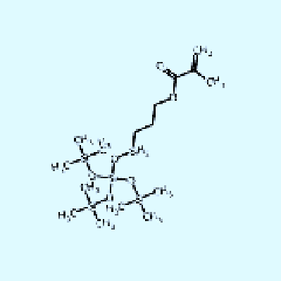 C=C(C)C(=O)OCCC[SiH2]O[Si](O[Si](C)(C)C)(O[Si](C)(C)C)O[Si](C)(C)C